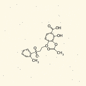 CC(=O)Oc1c(OCCS(=O)(=O)c2ccccc2C)ccc(C(=O)O)c1O